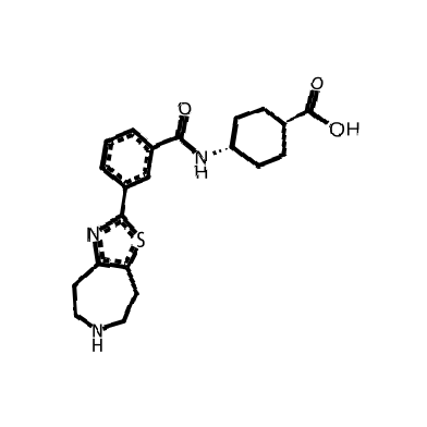 O=C(N[C@H]1CC[C@H](C(=O)O)CC1)c1cccc(-c2nc3c(s2)CCNCC3)c1